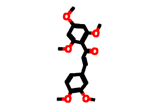 COc1cc(OC)c(C(=O)/C=C/c2ccc(OC)c(OC)c2)c(OC)c1